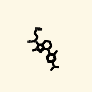 CCCN(CCOC)c1c2c(nn1C)N(c1cnc(N(C)C)cc1C)CCC2